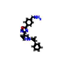 NCC1CCC(c2nc(C3(CN[C@@H]4C[C@H]4c4ccccc4)CC3)no2)CC1